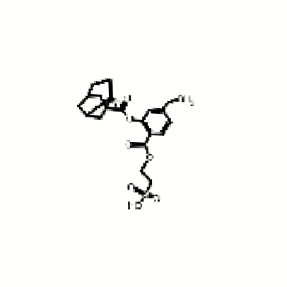 BCc1ccc(C(=O)OCCS(=O)(=O)O)c(OC(=O)C23CC4CC(C2)C(=O)C(C4)C3)c1